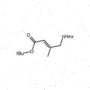 CCCCCCCC(C)=CC(=O)OC(C)(C)C